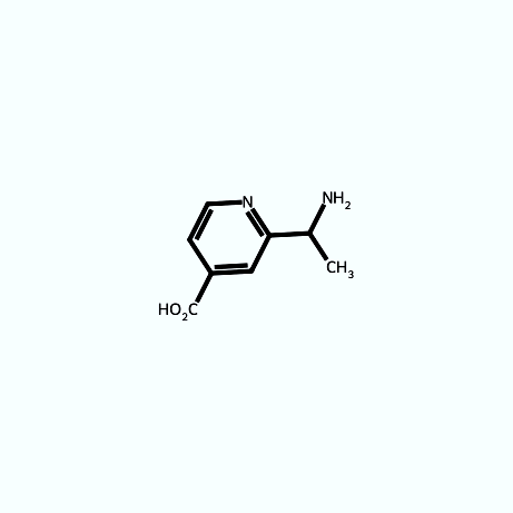 CC(N)c1cc(C(=O)O)ccn1